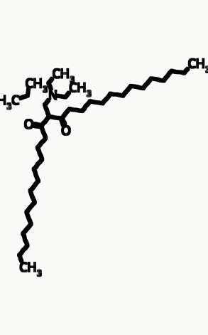 CCC.CCCCCCCCCCCCCC(=O)C(CN(CC)CC)C(=O)CCCCCCCCCCCCC